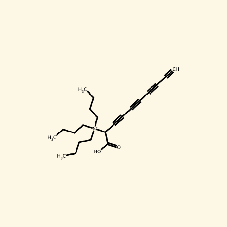 C#CC#CC#CC#CC(C(=O)O)[N+](CCCC)(CCCC)CCCC